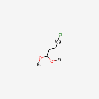 CCOC(C[CH2][Mg][Cl])OCC